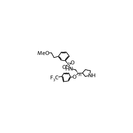 COCCc1cccc(S(=O)(=O)NC[C@H](Oc2ccc(C(F)(F)F)cc2)C2CCNC2)c1